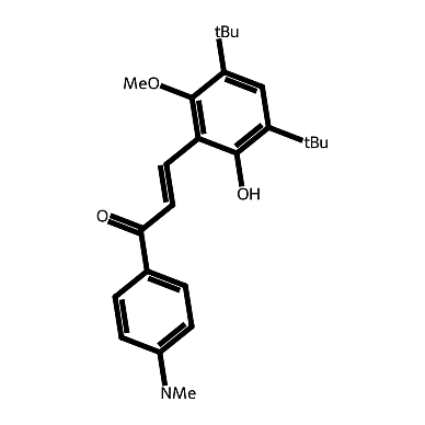 CNc1ccc(C(=O)C=Cc2c(O)c(C(C)(C)C)cc(C(C)(C)C)c2OC)cc1